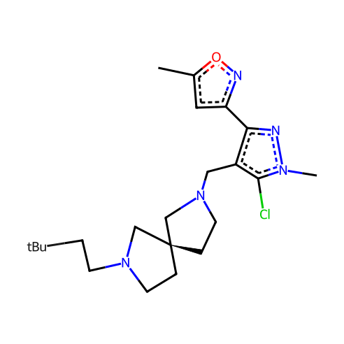 Cc1cc(-c2nn(C)c(Cl)c2CN2CC[C@]3(CCN(CCC(C)(C)C)C3)C2)no1